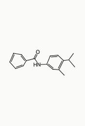 Cc1cc(NC(=O)c2ccccc2)ccc1C(C)C